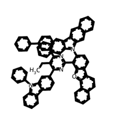 CCc1c(-c2cccc(-c3ccccc3)c2)nc(-c2c(-n3c4cc5ccccc5cc4c4cc5ccccc5cc43)ccc3c2oc2c4ccccc4ccc32)nc1-c1ccc2c3ccccc3n(-c3ccccc3)c2c1